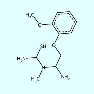 COc1ccccc1OCC(N)N(C)C(N)S